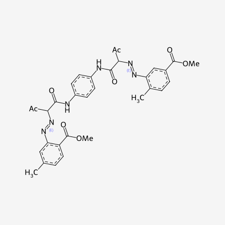 COC(=O)c1ccc(C)c(/N=N/C(C(C)=O)C(=O)Nc2ccc(NC(=O)C(/N=N/c3cc(C)ccc3C(=O)OC)C(C)=O)cc2)c1